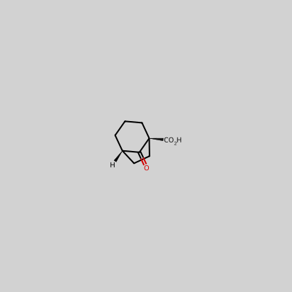 O=C(O)[C@@]12CCC[C@@H](CC1)C2=O